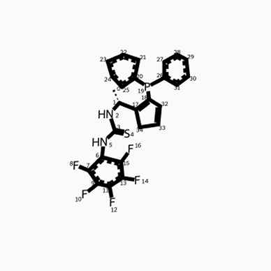 C[C@@H](NC(=S)Nc1c(F)c(F)c(F)c(F)c1F)C1=C(P(c2ccccc2)c2ccccc2)C=CC1